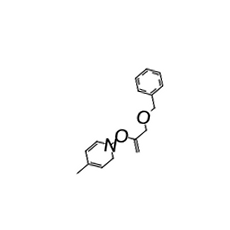 C=C(COCc1ccccc1)ON1C=CC(C)=CC1